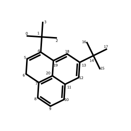 CC(C)(C)C1=CCc2cccc3cc(C(C)(C)C)cc1c23